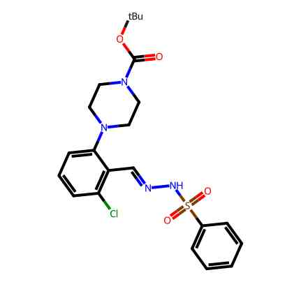 CC(C)(C)OC(=O)N1CCN(c2cccc(Cl)c2C=NNS(=O)(=O)c2ccccc2)CC1